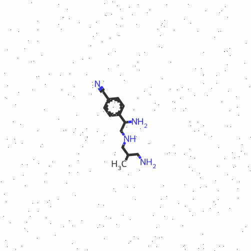 CC(CN)CNCC(N)c1ccc(C#N)cc1